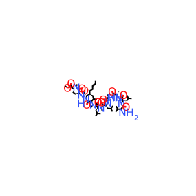 C/C=C/C[C@@H](C)[C@H]1CC(C)[C@H](N(C)C(=O)[C@H](CC(C)C)N(C)C(=O)[C@H](CC(C)C)N(C)C(=O)[C@@H](C)NC(=O)[C@H](C)NC(=O)[C@H](CC(C)C)N(C)C(=O)[C@@H](N)C(C)C)C(=O)N(C)[C@@H]1C(=O)N[C@@H](CC)C(=O)N(C)CC(=O)OC